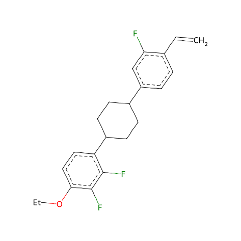 C=Cc1ccc(C2CCC(c3ccc(OCC)c(F)c3F)CC2)cc1F